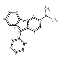 CB(C)c1ccc2c(c1)c1ccccc1n2-c1ccccc1